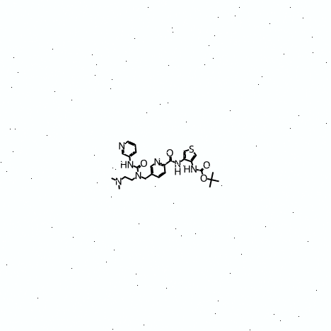 CN(C)CCN(Cc1ccc(C(=O)Nc2cscc2NC(=O)OC(C)(C)C)nc1)C(=O)Nc1cccnc1